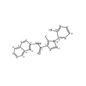 Cc1c(C(=O)Nc2ccc3ccccc3n2)cnn1-c1ccccc1F